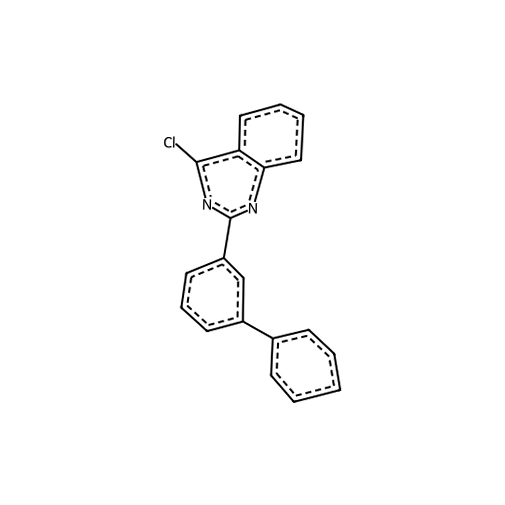 Clc1nc(-c2cccc(-c3ccccc3)c2)nc2ccccc12